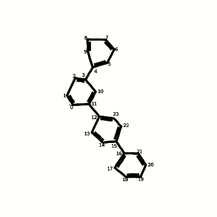 [c]1ccc(-c2ccccc2)cc1-c1ccc(-c2ccccc2)cc1